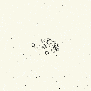 CCN(CC)C(c1nc(Cc2ccccc2)c(N2CCC(Cc3ccccc3)CC2)o1)C1CCC(C(C)(C)c2sccc2N)CC1